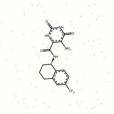 Nc1c(C(=O)N[C@@H]2CCCc3cc(C(F)(F)F)ccc32)[nH]c(=O)[nH]c1=O